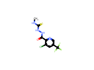 CNC(=S)NNC(=O)c1ncc(C(F)(F)F)cc1Cl